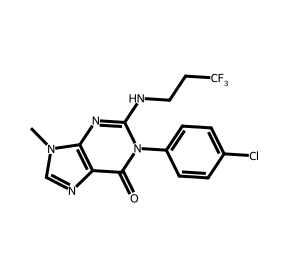 Cn1cnc2c(=O)n(-c3ccc(Cl)cc3)c(NCCC(F)(F)F)nc21